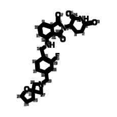 O=C1CCC(N2C(=O)c3cccc(NCc4ccc(CN5CC6(CCCO6)C5)cc4F)c3C2=O)C(=O)N1